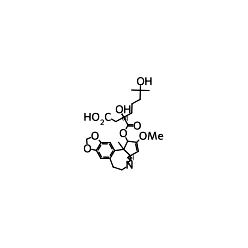 COC1=C[C@]23CCCN2CCc2cc4c(cc2C3(C)C1OC(=O)[C@@](O)(CCCC(C)(C)O)CC(=O)O)OCO4